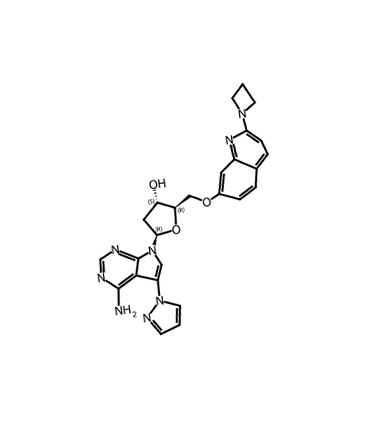 Nc1ncnc2c1c(-n1cccn1)cn2[C@H]1C[C@H](O)[C@@H](COc2ccc3ccc(N4CCC4)nc3c2)O1